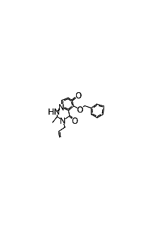 C=CCN1C(=O)c2c(OCc3ccccc3)c(=O)ccn2NC1C